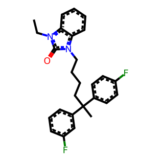 CCn1c(=O)n(CCCCC(C)(c2ccc(F)cc2)c2cccc(F)c2)c2ccccc21